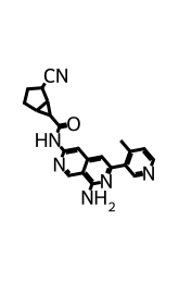 Cc1ccncc1-c1cc2cc(NC(=O)C3C4CCC(C#N)C43)ncc2c(N)n1